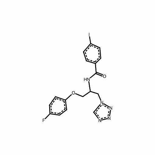 O=C(NC(COc1ccc(F)cc1)Cn1cnnn1)c1ccc(I)cc1